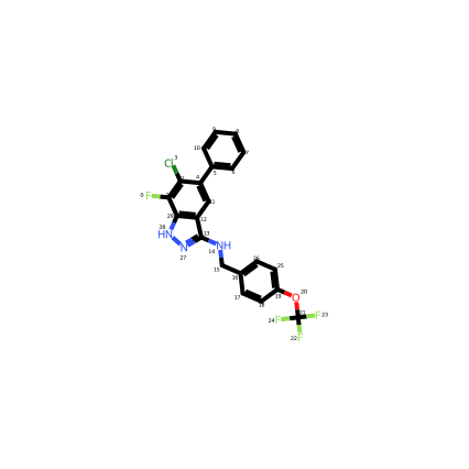 Fc1c(Cl)c(-c2ccccc2)cc2c(NCc3ccc(OC(F)(F)F)cc3)n[nH]c12